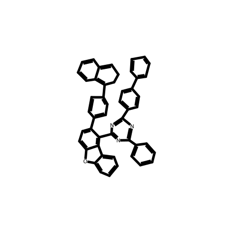 C1=c2ccccc2=C(c2ccc(-c3ccc4oc5ccccc5c4c3-c3nc(-c4ccccc4)nc(-c4ccc(-c5ccccc5)cc4)n3)cc2)CC1